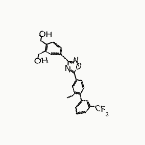 Cc1cc(-c2nc(-c3ccc(CO)c(CO)c3)no2)ccc1-c1cccc(C(F)(F)F)c1